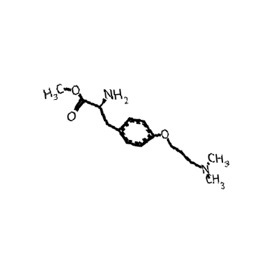 COC(=O)[C@@H](N)Cc1ccc(OCCCN(C)C)cc1